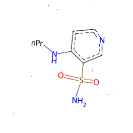 CCCNc1ccncc1S(N)(=O)=O